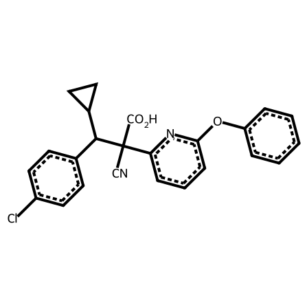 N#CC(C(=O)O)(c1cccc(Oc2ccccc2)n1)C(c1ccc(Cl)cc1)C1CC1